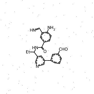 CCC(NC(=O)c1ccc(N)c(C=N)c1)c1cncc(-c2cccc(C=O)c2)c1